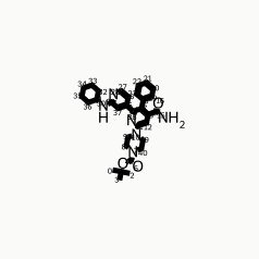 CC(C)(C)OC(=O)N1CCN(c2cc(C(N)=O)c(-c3ccccc3)c(-c3ccnc(NC4CCCCC4)c3)n2)CC1